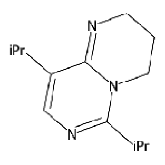 CC(C)C1=CN=C(C(C)C)N2CCCN=C12